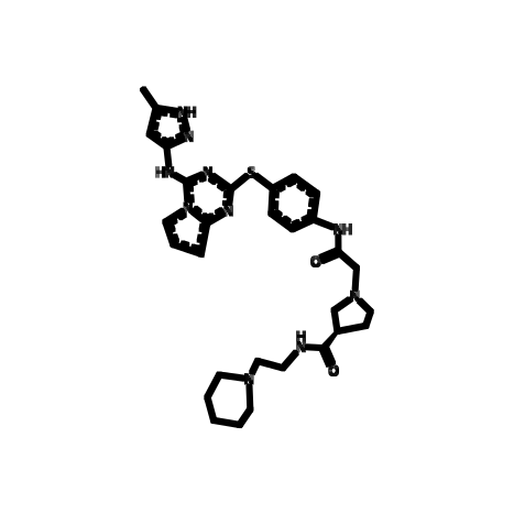 Cc1cc(Nc2nc(Sc3ccc(NC(=O)CN4CC[C@@H](C(=O)NCCN5CCCCC5)C4)cc3)nc3cccn23)n[nH]1